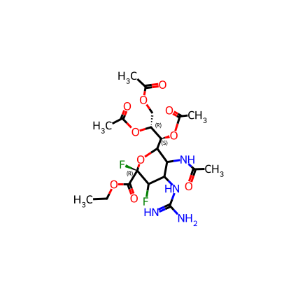 CCOC(=O)[C@]1(F)OC([C@H](OC(C)=O)[C@@H](COC(C)=O)OC(C)=O)C(NC(C)=O)C(NC(=N)N)C1F